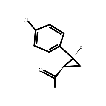 CC(=O)[C@@H]1C[C@]1(C)c1ccc(Cl)cc1